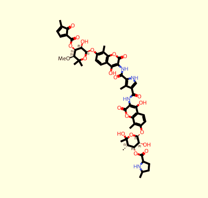 CO[C@H]1[C@@H](OC(=O)C2=CC=C(C)C2=O)[C@@H](O)[C@@H](Oc2ccc3c(O)c(NC(=O)c4[nH]cc(C(=O)Nc5c(O)c6ccc(O[C@H]7OC(C)(O)[C@@H](C)[C@@H](OC(=O)C8CCC(C)N8)[C@H]7O)c(C)c6oc5=O)c4C)c(=O)oc3c2C)OC1(C)C